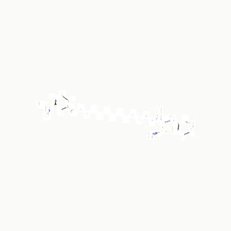 N#CN/C(=N\c1cccnc1)NCCCCCCCCCCCCOc1cccc([N+](=O)[O-])c1